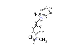 C/C(=C(/Cl)I)c1ccc(C/C=C(\I)c2ccccc2)cc1